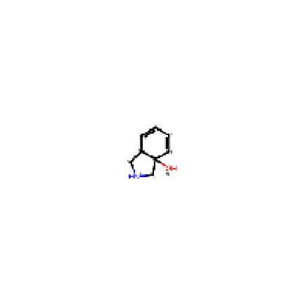 OC12C=CC=CC1CNC2